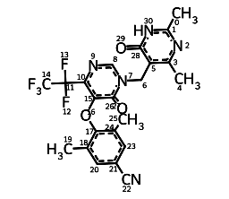 Cc1nc(C)c(Cn2cnc(C(F)(F)C(F)(F)F)c(Oc3c(C)cc(C#N)cc3C)c2=O)c(=O)[nH]1